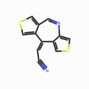 N#C/C=C1/c2cscc2C=Nc2cscc21